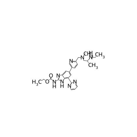 CCNC(C)CN(C)Cc1ccc(-c2cc(-c3ncccn3)c3[nH]c(NC(=O)OCC)nc3c2)cn1